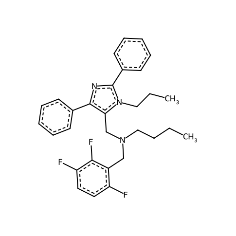 CCCCN(Cc1c(F)ccc(F)c1F)Cc1c(-c2ccccc2)nc(-c2ccccc2)n1CCC